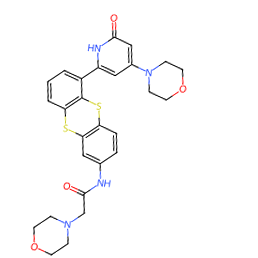 O=C(CN1CCOCC1)Nc1ccc2c(c1)Sc1cccc(-c3cc(N4CCOCC4)cc(=O)[nH]3)c1S2